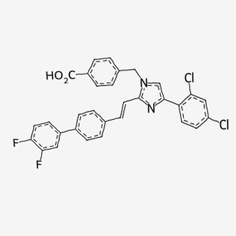 O=C(O)c1ccc(Cn2cc(-c3ccc(Cl)cc3Cl)nc2C=Cc2ccc(-c3ccc(F)c(F)c3)cc2)cc1